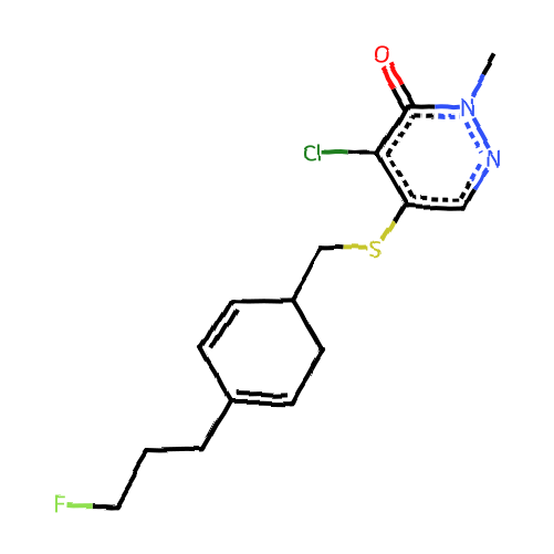 Cn1ncc(SCC2C=CC(CCCF)=CC2)c(Cl)c1=O